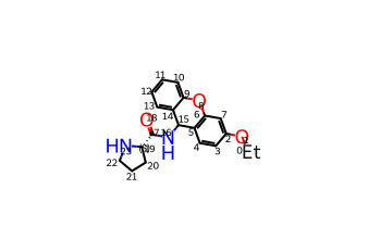 CCOc1ccc2c(c1)Oc1ccccc1C2NC(=O)[C@@H]1CCCN1